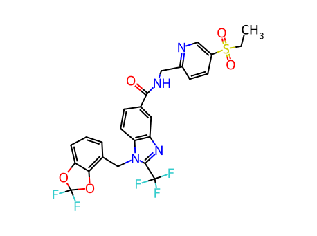 CCS(=O)(=O)c1ccc(CNC(=O)c2ccc3c(c2)nc(C(F)(F)F)n3Cc2cccc3c2OC(F)(F)O3)nc1